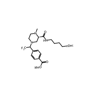 CCCCCCCCCCCCCCNC(=O)[C@H]1CN(C(c2ccc(C(=O)OC)cc2)C(F)(F)F)CCN1C